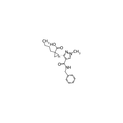 CCCCC1(C(=O)O)C[C@H]1c1nn(C)cc1C(=O)NCc1ccccc1